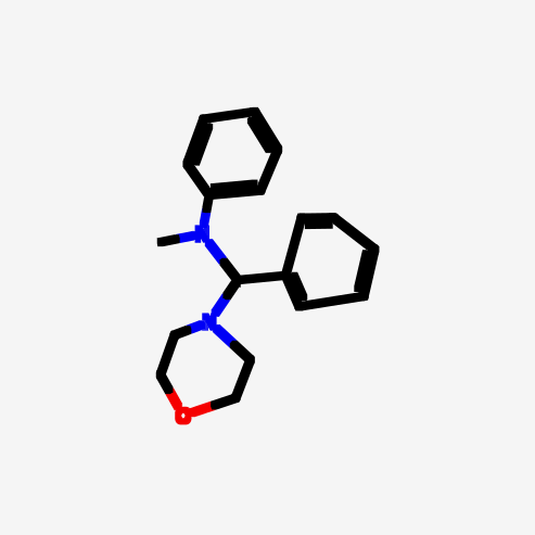 CN([C](c1ccccc1)N1CCOCC1)c1ccccc1